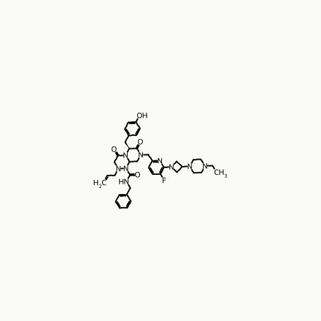 C=CCN1CC(=O)N2C(CN(Cc3ccc(F)c(N4CC(N5CCN(CC)CC5)C4)n3)C(=O)[C@@H]2Cc2ccc(O)cc2)N1C(=O)NCc1ccccc1